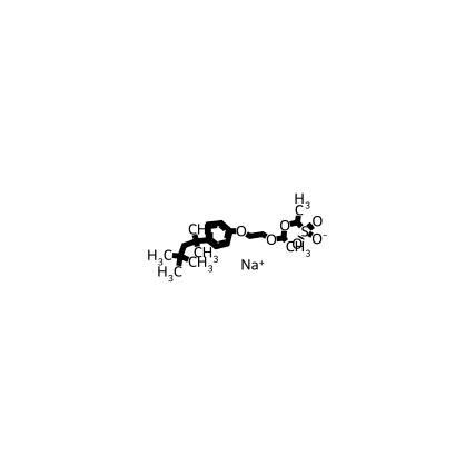 CC(OCCOc1ccc(C(C)(C)CC(C)(C)C)cc1)OC(C)S(=O)(=O)[O-].[Na+]